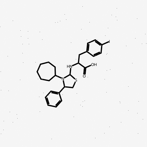 O=C(O)C(Cc1ccc(I)cc1)NC1SCC(c2ccccc2)N1C1CCCCCC1